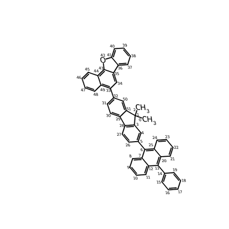 CC1(C)c2cc(-c3c4ccccc4c(-c4ccccc4)c4ccccc34)ccc2-c2ccc(-c3cc4c5ccccc5oc4c4ccccc34)cc21